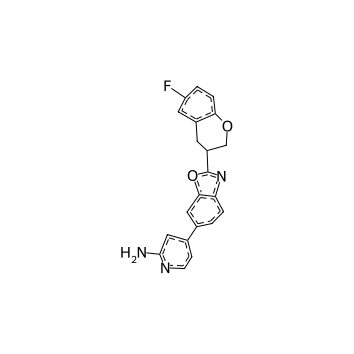 Nc1cc(-c2ccc3nc(C4COc5ccc(F)cc5C4)oc3c2)ccn1